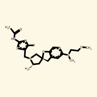 COCCN(C)c1cc2c(cn1)O[C@]1(C2)C[C@H](C)N(Cc2sc(NC(C)=O)nc2F)C1